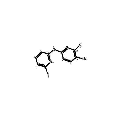 Clc1nccc(Sc2ccc(Cl)c(Cl)c2)n1